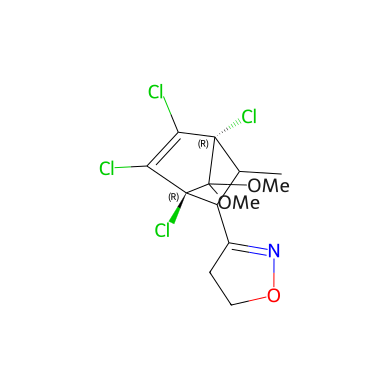 COC1(OC)[C@@]2(Cl)C(Cl)=C(Cl)[C@@]1(Cl)C(C1=NOCC1)C2C